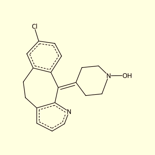 ON1CCC(=C2c3ccc(Cl)cc3CCc3cccnc32)CC1